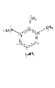 Cc1cccc(S(=O)(=O)O)c1C.[CaH2]